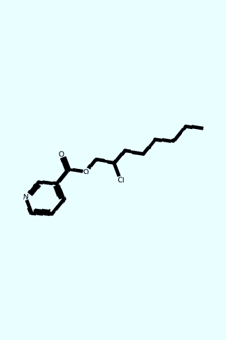 CCCCCCC(Cl)COC(=O)c1cccnc1